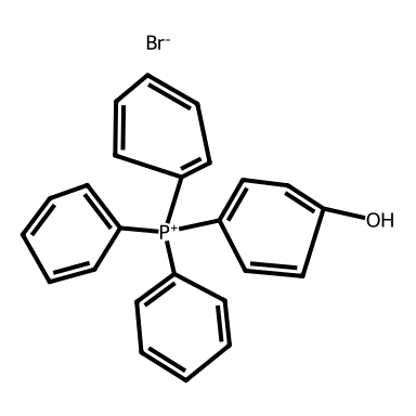 Oc1ccc([P+](c2ccccc2)(c2ccccc2)c2ccccc2)cc1.[Br-]